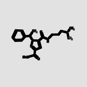 CNC(=O)c1cc(C(=O)NCCCN(C)C)n(C(C)c2ccccc2)n1